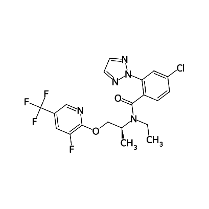 CCN(C(=O)c1ccc(Cl)cc1-n1nccn1)[C@@H](C)COc1ncc(C(F)(F)F)cc1F